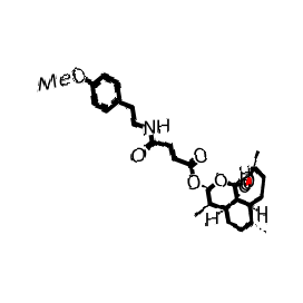 COc1ccc(CCNC(=O)CCC(=O)O[C@@H]2O[C@@H]3O[C@@]4(C)CC[C@H]5[C@H](C)CC[C@@H]([C@H]2C)[C@@]35OO4)cc1